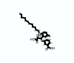 CCCCCCCCCCCCOc1ccc(C)cc1C(Sc1cccc(C(=O)O)c1)C(O)C(=O)O